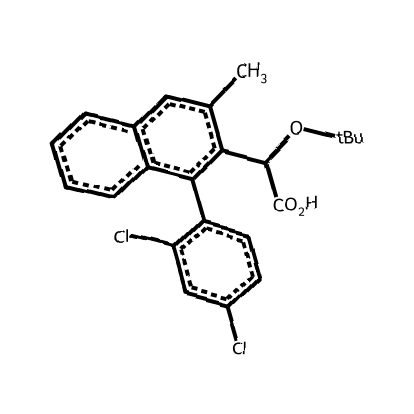 Cc1cc2ccccc2c(-c2ccc(Cl)cc2Cl)c1C(OC(C)(C)C)C(=O)O